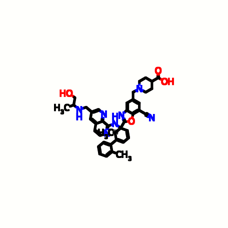 Cc1ccccc1C1=CC=CC(Nc2nccc3cc(CNC(C)CO)cnc23)(c2nc3cc(CN4CCC(C(=O)O)CC4)cc(C#N)c3o2)[C@@H]1C